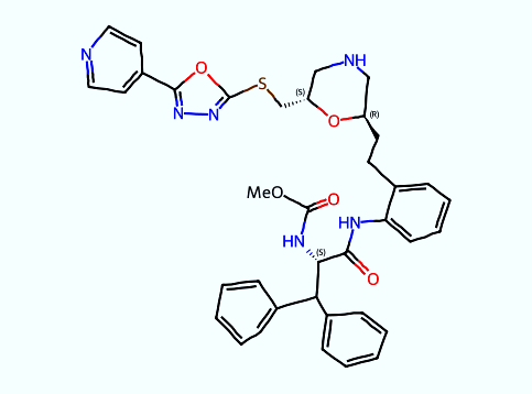 COC(=O)N[C@H](C(=O)Nc1ccccc1CC[C@@H]1CNC[C@@H](CSc2nnc(-c3ccncc3)o2)O1)C(c1ccccc1)c1ccccc1